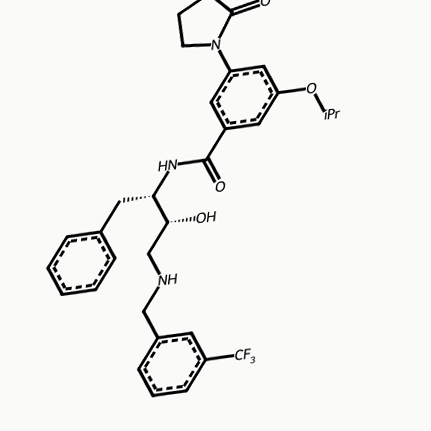 CC(C)Oc1cc(C(=O)N[C@@H](Cc2ccccc2)[C@H](O)CNCc2cccc(C(F)(F)F)c2)cc(N2CCCC2=O)c1